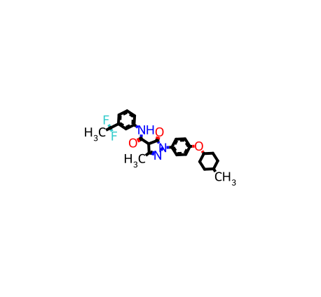 CC1=NN(c2ccc(OC3CCC(C)CC3)cc2)C(=O)C1C(=O)Nc1cccc(C(C)(F)F)c1